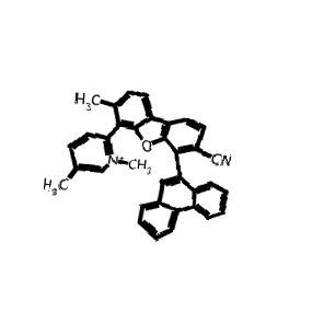 Cc1ccc(-c2c(C)ccc3c2oc2c(-c4cc5ccccc5c5ccccc45)c(C#N)ccc23)[n+](C)c1